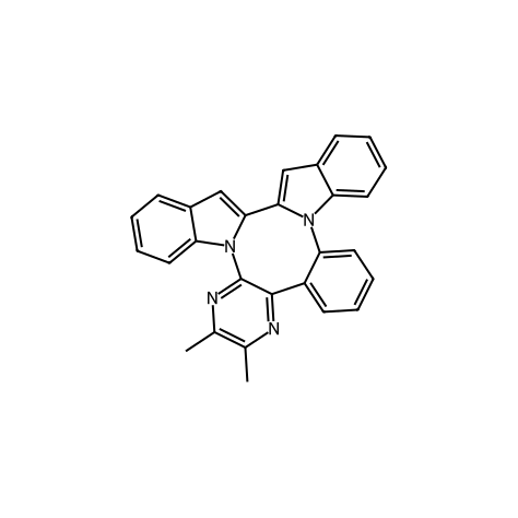 Cc1nc2c3ccccc3n3c4ccccc4cc3c3cc4ccccc4n3c2nc1C